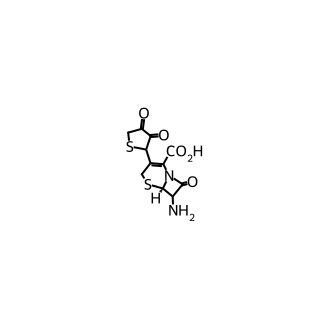 NC1C(=O)N2C(C(=O)O)=C(C3SCC(=O)C3=O)CS[C@@H]12